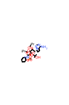 CC(C)C(=O)O[C@@H]1[C@H](OC(=O)C(C)C)[C@@H](CO[P@](=O)(N[C@@H](C)C(=O)OCC(C)(C)O)Oc2ccccc2)O[C@H]1c1ccc2c(N)ncnn12